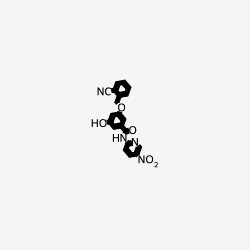 N#Cc1ccccc1COc1cc(O)cc(C(=O)Nc2ccc([N+](=O)[O-])cn2)c1